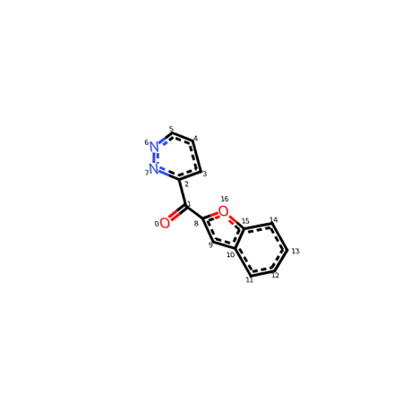 O=C(c1cccnn1)c1cc2ccccc2o1